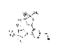 CC1(C)OB(c2ccc(CBr)cc2B2OC(C)(C)C(C)(C)O2)OC1(C)C